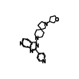 c1cc(-c2nc(N3CCC4(CC3)CCN(C3CCOC3)C4)c3ccncc3n2)ccn1